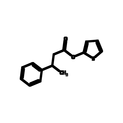 CC(CC(=O)Oc1cccs1)c1ccccc1